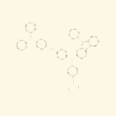 CCCCCC(CC)(c1ccc(N(c2ccccc2)c2ccccc2)cc1)c1ccc(N(c2ccc(C3CCCCC3)cc2)c2ccc3c4ccccc4n(-c4ccccc4)c3c2)cc1